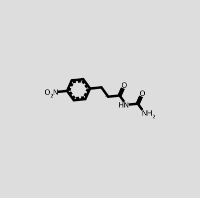 NC(=O)NC(=O)[CH]Cc1ccc([N+](=O)[O-])cc1